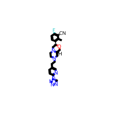 Cc1c([C@@H]2CN3CCN(CCc4ccc(-n5cnnn5)nc4)C[C@H]3CO2)ccc(F)c1C#N